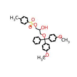 COc1ccc(C(OCC(O)COS(=O)(=O)c2ccc(C)cc2)(c2ccccc2)c2ccc(OC)cc2)cc1